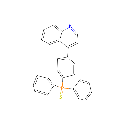 S=P(c1ccccc1)(c1ccccc1)c1ccc(-c2ccnc3ccccc23)cc1